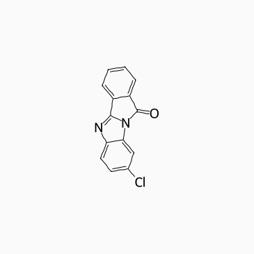 O=C1c2ccccc2-c2nc3ccc(Cl)cc3n21